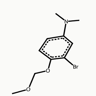 COCOc1ccc(N(C)C)cc1Br